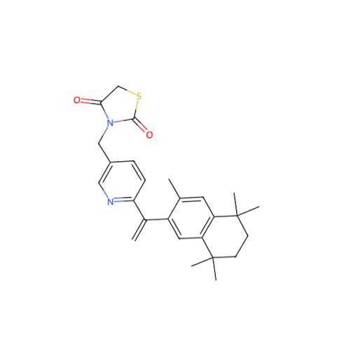 C=C(c1ccc(CN2C(=O)CSC2=O)cn1)c1cc2c(cc1C)C(C)(C)CCC2(C)C